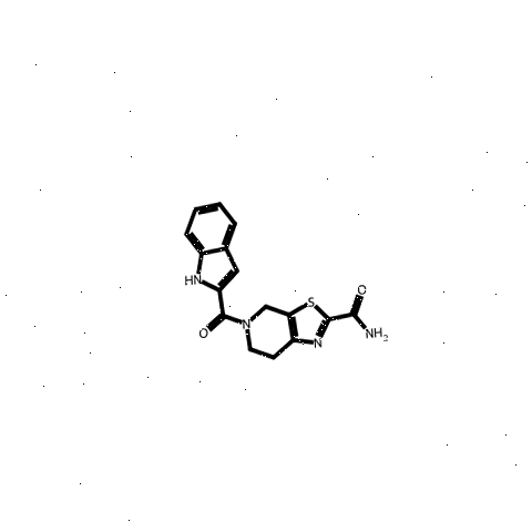 NC(=O)c1nc2c(s1)CN(C(=O)c1cc3ccccc3[nH]1)CC2